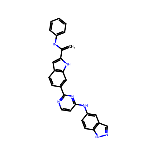 C=C(Nc1ccccc1)c1cc2ccc(-c3nccc(Nc4ccc5[nH]ncc5c4)n3)cc2[nH]1